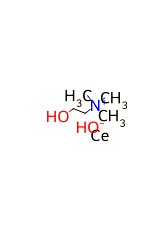 C[N+](C)(C)CCO.[Ce].[OH-]